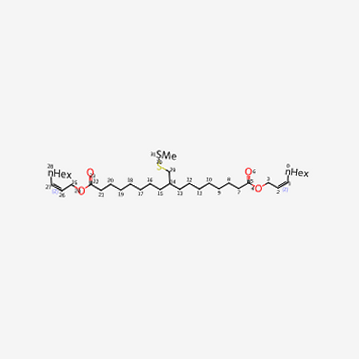 CCCCCC/C=C\COC(=O)CCCCCCCC(CCCCCCCC(=O)OC/C=C\CCCCCC)CSSC